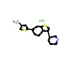 Cc1csc(-c2ccc3c(-c4cccnc4)csc3c2)c1.Cl